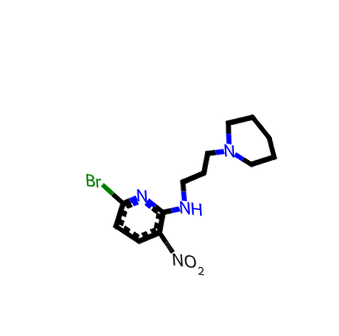 O=[N+]([O-])c1ccc(Br)nc1NCCCN1CCCCC1